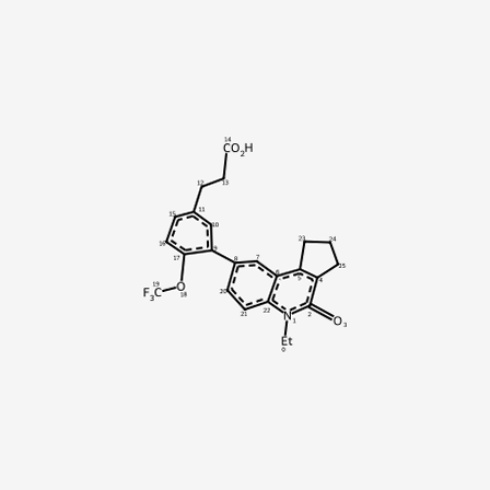 CCn1c(=O)c2c(c3cc(-c4cc(CCC(=O)O)ccc4OC(F)(F)F)ccc31)CCC2